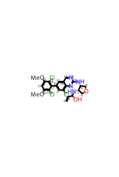 C=CC(O)N[C@H]1COC[C@H]1Nc1ncc2cc(-c3c(Cl)c(OC)cc(OC)c3Cl)cc(Cl)c2n1